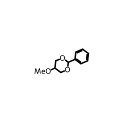 COC1COC(c2ccccc2)OC1